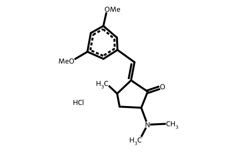 COc1cc(C=C2C(=O)C(N(C)C)CC2C)cc(OC)c1.Cl